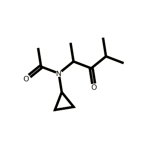 CC(=O)N(C1CC1)C(C)C(=O)C(C)C